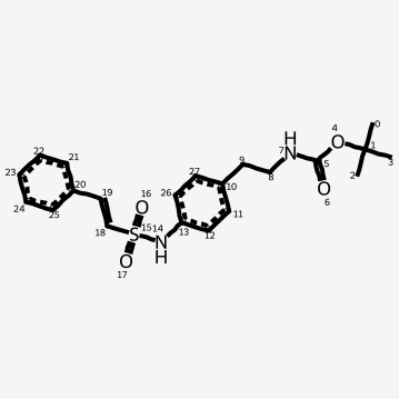 CC(C)(C)OC(=O)NCCc1ccc(NS(=O)(=O)C=Cc2ccccc2)cc1